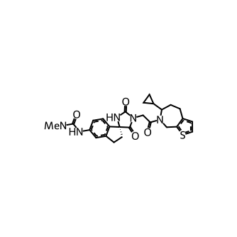 CNC(=O)Nc1ccc2c(c1)CC[C@@]21NC(=O)N(CC(=O)N2Cc3sccc3CCC2C2CC2)C1=O